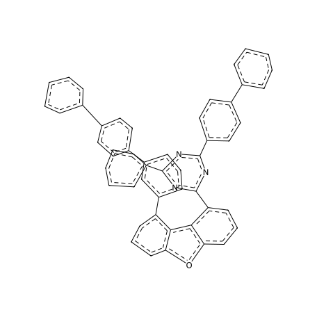 c1ccc(-c2ccc(-c3cccc(-c4cccc5oc6cccc(-c7nc(-c8ccccc8)nc(-c8ccc(-c9ccccc9)cc8)n7)c6c45)c3)cc2)cc1